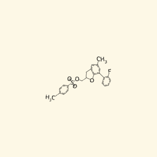 Cc1ccc(S(=O)(=O)OCC2Cc3cc(C)cc(-c4ccccc4F)c3O2)cc1